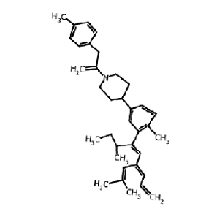 C=C/C=C(C=C(C)C)/C=C(/c1cc(C2CCN(C(=C)Cc3ccc(C)cc3)CC2)ccc1C)C(C)CC